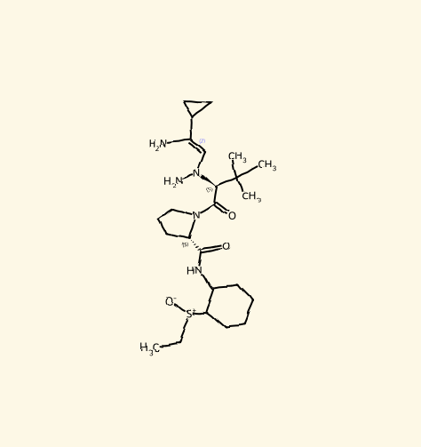 CC[S+]([O-])C1CCCCC1NC(=O)[C@@H]1CCCN1C(=O)[C@@H](N(N)/C=C(\N)C1CC1)C(C)(C)C